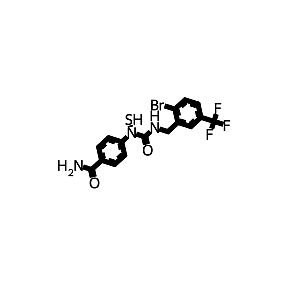 NC(=O)c1ccc(N(S)C(=O)NCc2cc(C(F)(F)F)ccc2Br)cc1